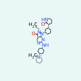 C=CCn1c(=O)c2cnc(Nc3ccc([N+]4(C)CCCCC4)cc3)nc2n1-c1cccc(-c2ccc[nH]c2=O)c1